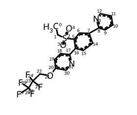 CCS(=O)(=O)c1cc(-c2ccccn2)ccc1-c1ccc(OCC(F)(F)C(F)(F)F)cn1